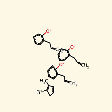 C=CCc1ccccc1[O-].C=CCc1ccccc1[O-].C=CCc1ccccc1[O-].CC1=[C]([Ti+3])CC=C1